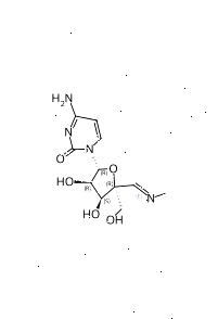 C/N=C/[C@]1(CO)O[C@@H](n2ccc(N)nc2=O)[C@H](O)[C@@H]1O